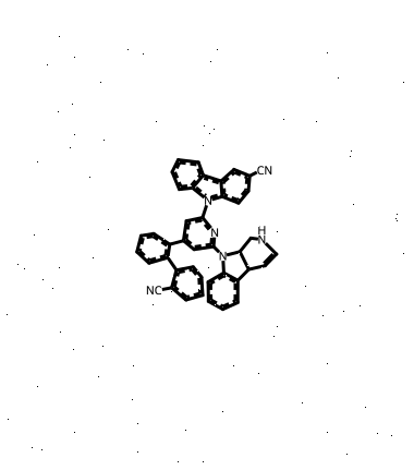 N#Cc1ccc2c(c1)c1ccccc1n2-c1cc(-c2ccccc2-c2ccccc2C#N)cc(N2c3ccccc3C3C=CNCC32)n1